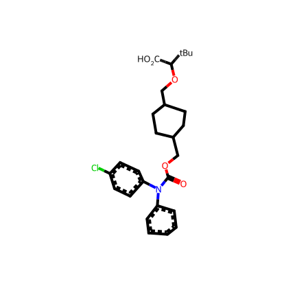 CC(C)(C)C(OCC1CCC(COC(=O)N(c2ccccc2)c2ccc(Cl)cc2)CC1)C(=O)O